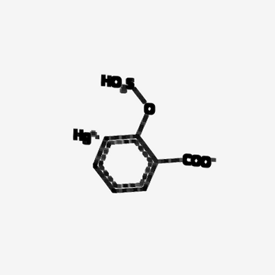 O=C([O-])c1ccccc1OS(=O)(=O)O.[Hg+]